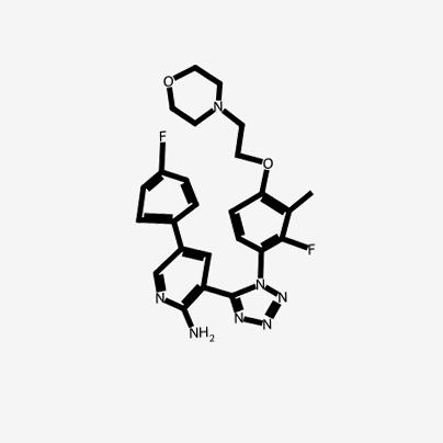 Cc1c(OCCN2CCOCC2)ccc(-n2nnnc2-c2cc(-c3ccc(F)cc3)cnc2N)c1F